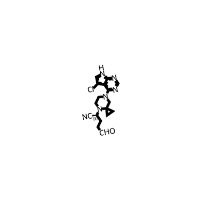 N#C[C@H](CCC=O)N1CCN(c2ncnc3[nH]cc(Cl)c23)CC12CC2